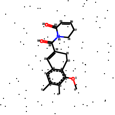 COc1c(C)c(C)cc2c1CCC(C(=O)N1CCC=CC1=O)=C2